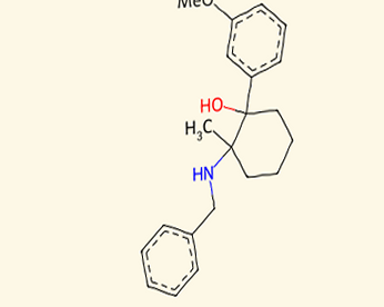 COc1cccc(C2(O)CCCCC2(C)NCc2ccccc2)c1